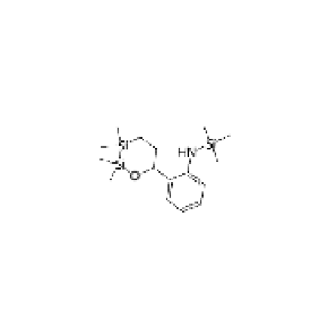 C[Si](C)(C)Nc1ccccc1C1CC[Si](C)(C)[Si](C)(C)O1